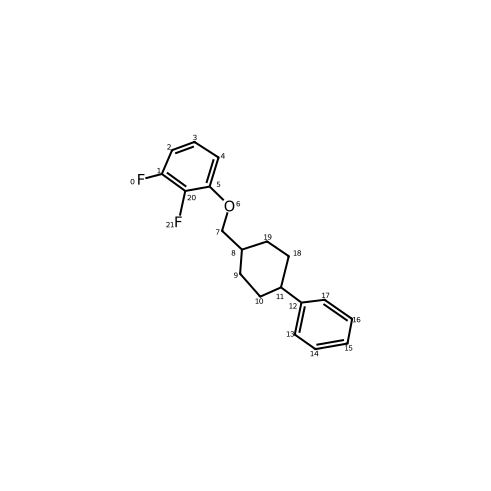 Fc1cccc(OCC2CCC(c3ccccc3)CC2)c1F